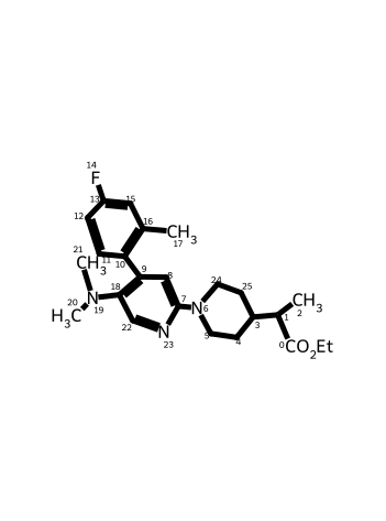 CCOC(=O)C(C)C1CCN(c2cc(-c3ccc(F)cc3C)c(N(C)C)cn2)CC1